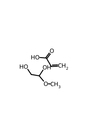 C=CC(=O)O.COC(O)CO